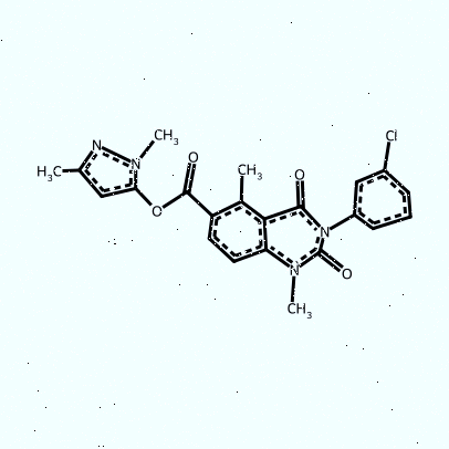 Cc1cc(OC(=O)c2ccc3c(c2C)c(=O)n(-c2cccc(Cl)c2)c(=O)n3C)n(C)n1